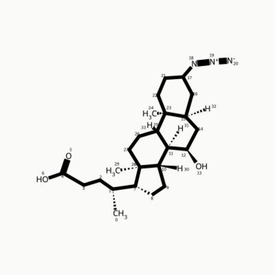 C[C@H](CCC(=O)O)[C@H]1CC[C@H]2[C@@H]3[C@H](O)C[C@@H]4CC(N=[N+]=[N-])CC[C@]4(C)[C@H]3CC[C@]12C